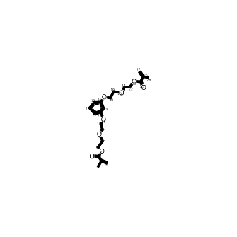 C=C(C)C(=O)OCCOCCOc1cccc(OCCOCCOC(=O)C(=C)C)c1